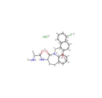 CNC(C)C(=O)NC1CCc2ccccc2N(Cc2c(OC)ccc3c(F)cccc23)C1=O.Cl